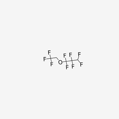 FC(F)C(F)(F)C(F)(F)OCC(F)(F)F